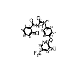 CN(C(=O)NC(=O)c1ccccc1Cl)c1ccc(Oc2ncc(C(F)(F)F)cc2Cl)cc1